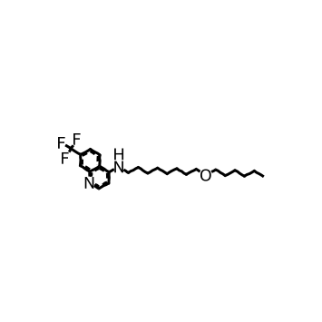 CCCCCCOCCCCCCCCNc1ccnc2cc(C(F)(F)F)ccc12